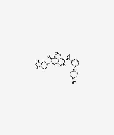 CC(C)N1CCN(c2cccc(Nc3cc4c(cn3)cc(-c3ccc5scnc5c3)c(=O)n4C)c2)CC1